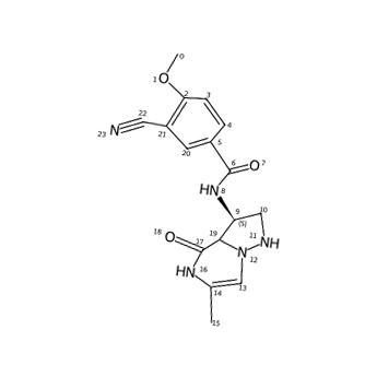 COc1ccc(C(=O)N[C@H]2CNN3C=C(C)NC(=O)C23)cc1C#N